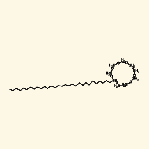 CCCCCCCCCCCCCCCCCCCCCCCCCCCCCC[SiH]1O[SiH2]O[SiH2]O[SiH2]O[SiH2]O[SiH2]O[SiH2]O[SiH2]O[SiH2]O1